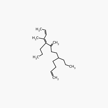 C=CCCC(CCC)CCC(=C)/C(CCC)=C(C)\C=C/C